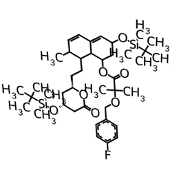 CC1C=CC2=CC(O[Si](C)(C)C(C)(C)C)CC(OC(=O)C(C)(C)OCc3ccc(F)cc3)C2C1CC[C@@H]1C[C@@H](O[Si](C)(C)C(C)(C)C)CC(=O)O1